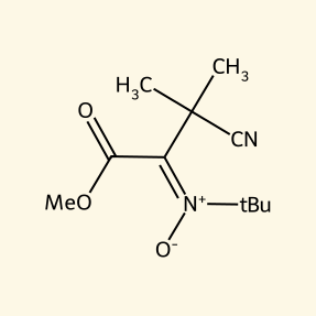 COC(=O)C(=[N+]([O-])C(C)(C)C)C(C)(C)C#N